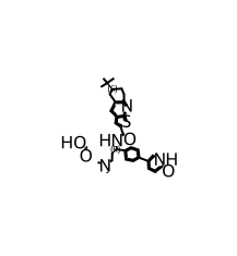 CN(C)CC[C@@H](NC(=O)c1cc2cc3c(nc2s1)CC[C@H](C(C)(C)C)C3)c1ccc(-c2ccc(=O)[nH]c2)cc1.O=CO